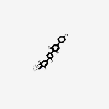 CCC1CCC(c2cc(F)c(-c3ccc(C4=CC(C)(F)/C(=C\C(F)(F)F)C(F)=C4)c(F)c3)c(F)c2)CC1